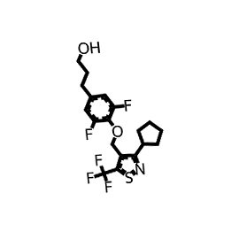 OCCCc1cc(F)c(OCc2c(C3CCCC3)nsc2C(F)(F)F)c(F)c1